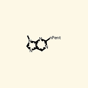 CCCCCc1n[c]c2ncn(C)c2n1